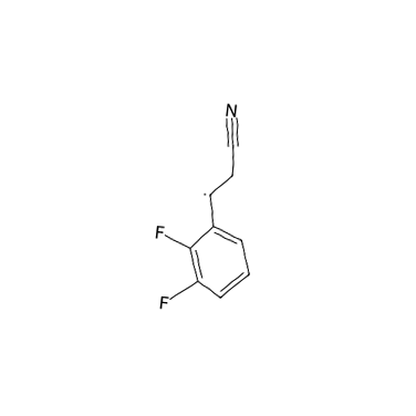 N#CC[CH]c1cccc(F)c1F